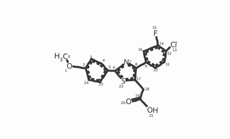 COc1ccc(-c2nc(-c3ccc(Cl)c(F)c3)c(CC(=O)O)s2)cc1